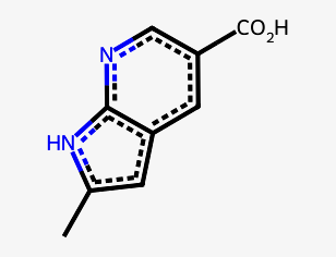 Cc1cc2cc(C(=O)O)cnc2[nH]1